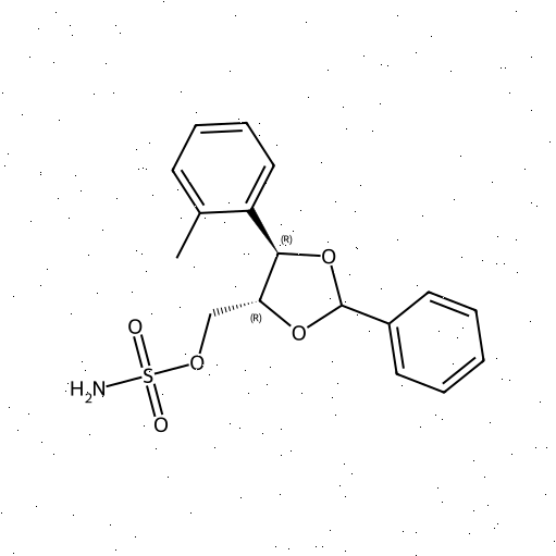 Cc1ccccc1[C@H]1OC(c2ccccc2)O[C@@H]1COS(N)(=O)=O